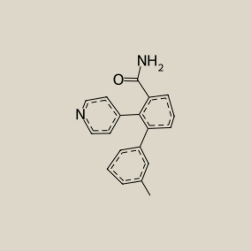 Cc1cccc(-c2cccc(C(N)=O)c2-c2ccncc2)c1